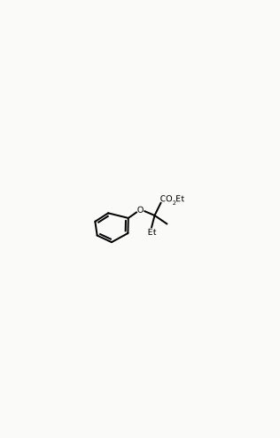 CCOC(=O)C(C)(CC)Oc1ccccc1